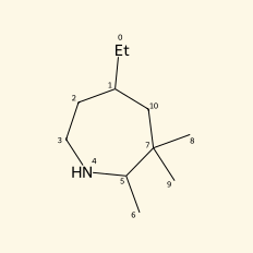 CCC1CCNC(C)C(C)(C)C1